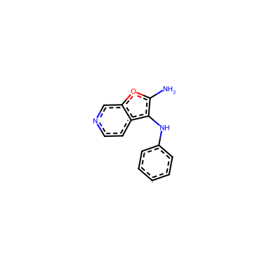 Nc1oc2cnccc2c1Nc1cc[c]cc1